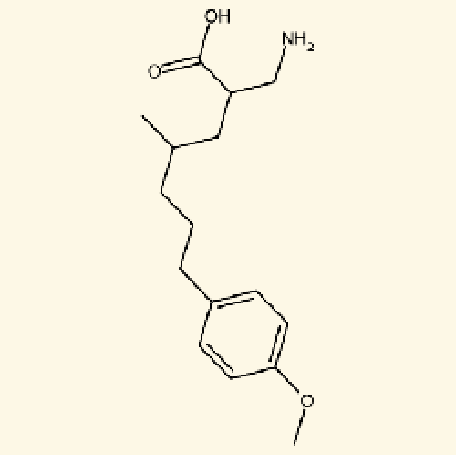 COc1ccc(CCCC(C)CC(CN)C(=O)O)cc1